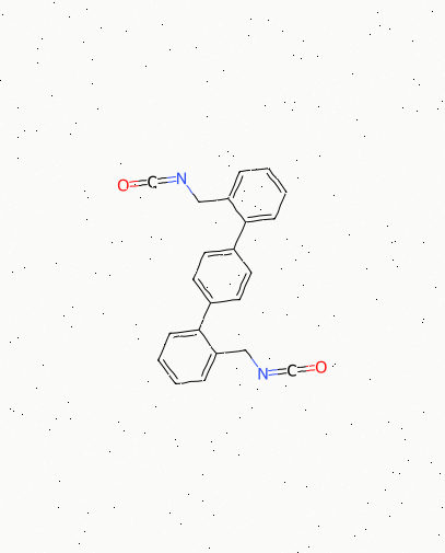 O=C=NCc1ccccc1-c1ccc(-c2ccccc2CN=C=O)cc1